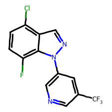 Fc1ccc(Cl)c2cnn(-c3cncc(C(F)(F)F)c3)c12